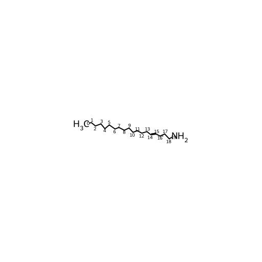 CCCCCCCCCCCCCCC=C[CH]CCN